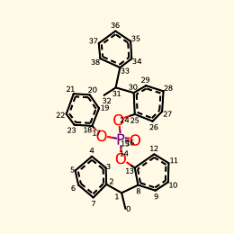 CC(c1ccccc1)c1ccccc1OP(=O)(Oc1ccccc1)Oc1ccccc1C(C)c1ccccc1